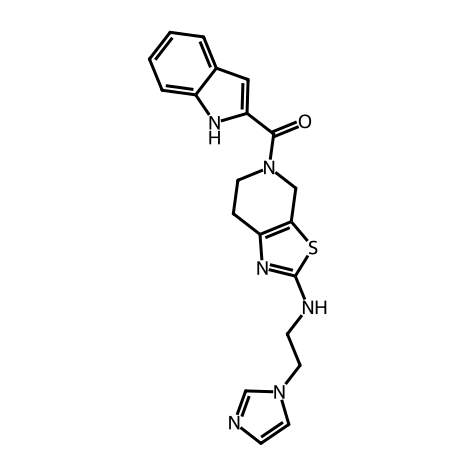 O=C(c1cc2ccccc2[nH]1)N1CCc2nc(NCCn3ccnc3)sc2C1